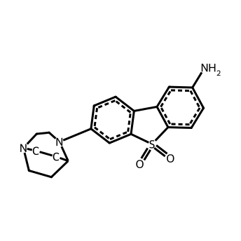 Nc1ccc2c(c1)-c1ccc(N3CCN4CCC3CC4)cc1S2(=O)=O